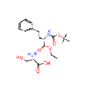 CCOC(=O)[C@@H](CCc1ccccc1)NC(=O)OC(C)(C)C.N[C@@H](CO)C(=O)O